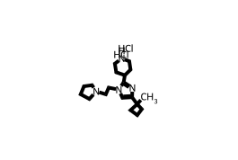 CC1(c2cn(CCN3CCCC3)c(C3CCNCC3)n2)CCC1.Cl.Cl